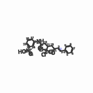 O=C(/C=C/c1ccccc1)CC(CC(=O)Nc1cccc([N+](=O)O)c1)C(Cl)(Cl)Cl